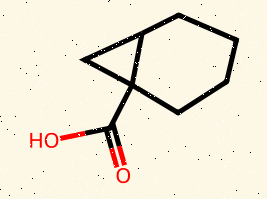 O=C(O)C12CCCCC1C2